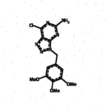 COc1cc(Cn2nnc3c(Cl)nc(N)nc32)cc(OC)c1OC